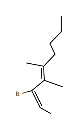 C/C=C(Br)\C(C)=C(/C)CCCC